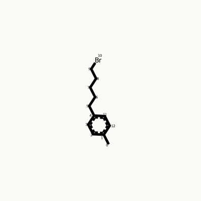 Cc1ccc(CCCCCBr)cc1